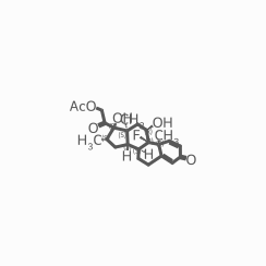 CC(=O)OCC(=O)[C@@]1(O)[C@@H](C)C[C@H]2[C@@H]3CCC4=CC(=O)C=C[C@]4(C)[C@@]3(F)[C@H](O)C[C@@]21C